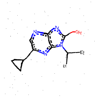 CCC(CC)n1c(O)nc2ncc(C3CC3)nc21